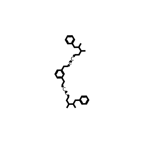 CC(CC=C=C=CCc1cccc(CC=C=C=CCC(C)C(C)Cc2ccccc2)c1)C(C)Cc1ccccc1